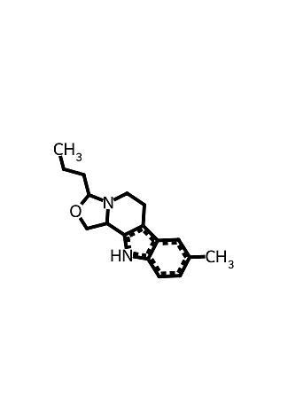 CCCC1OCC2c3[nH]c4ccc(C)cc4c3CCN12